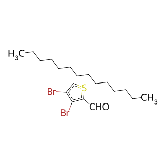 CCCCCCCCCCCCCC.O=Cc1scc(Br)c1Br